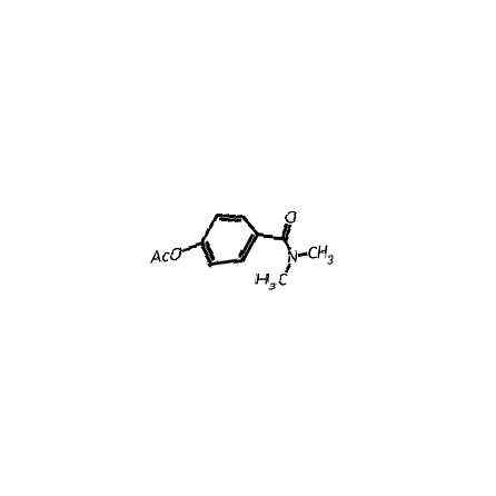 CC(=O)Oc1ccc(C(=O)N(C)C)cc1